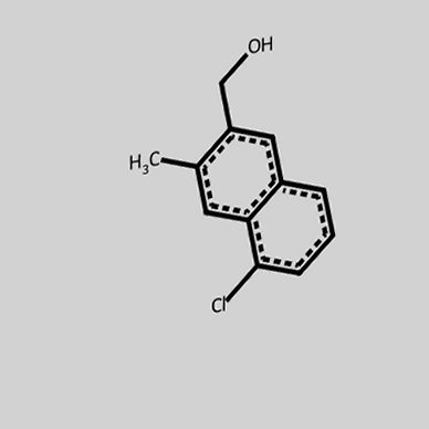 Cc1cc2c(Cl)cccc2cc1CO